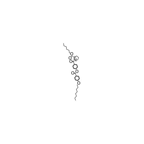 CCCCCCCCOc1ccc(C(=O)Oc2ccc(C(=O)N3CCC[C@H]3C(=O)OCCCCCC)cc2)cc1